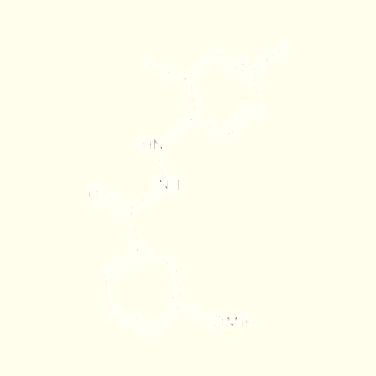 COc1cccc(C(=O)NNc2ccc(C)cc2C)c1